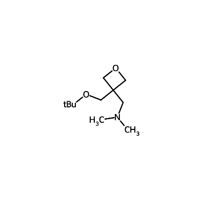 CN(C)CC1(COC(C)(C)C)COC1